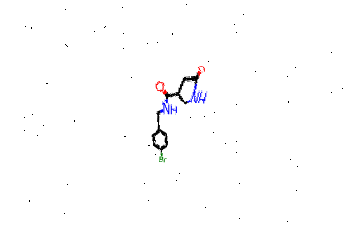 O=C1CC(C(=O)NCc2ccc(Br)cc2)CN1